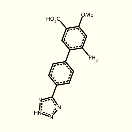 COc1cc(P)c(-c2ccc(-c3nn[nH]n3)cc2)cc1C(=O)O